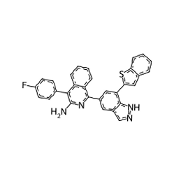 Nc1nc(-c2cc(-c3cc4ccccc4s3)c3[nH]ncc3c2)c2ccccc2c1-c1ccc(F)cc1